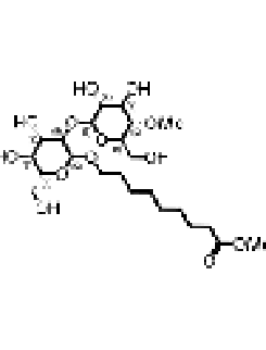 COC(=O)CCCCCCCCO[C@H]1O[C@H](CO)[C@@H](O)[C@H](O)[C@H]1O[C@@H]1O[C@H](CO)[C@@H](OC)[C@H](O)[C@H]1O